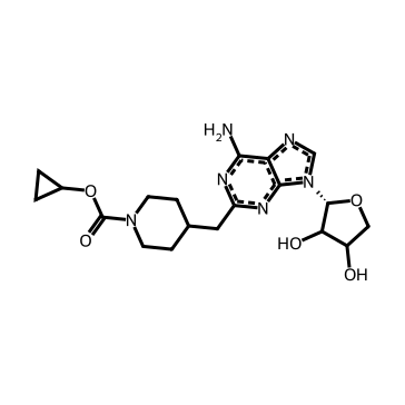 Nc1nc(CC2CCN(C(=O)OC3CC3)CC2)nc2c1ncn2[C@@H]1OCC(O)C1O